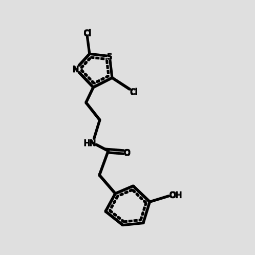 O=C(Cc1cccc(O)c1)NCCc1nc(Cl)sc1Cl